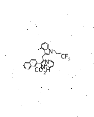 Cc1cccc2c1c(Cc1c(-c3ccc4ccccc4c3C(=O)O)nc3ccccn13)cn2CCCC(F)(F)F